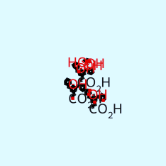 CC(CO)(CO)CO.O=C(O)CCc1cc(Cc2ccccc2)c(O)c(Cc2ccccc2)c1.O=C(O)CCc1cc(Cc2ccccc2)c(O)c(Cc2ccccc2)c1.O=C(O)CCc1cc(Cc2ccccc2)c(O)c(Cc2ccccc2)c1